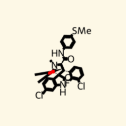 CSc1ccc(NC(=O)[C@H]2[C@H](c3cccc(Cl)c3F)[C@]3(C(=O)Nc4cc(Cl)ccc43)C3(CCC(C)(C)CC3)N2C)cc1